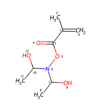 C=C(C)C(=O)ON(C(C)O)C(C)O